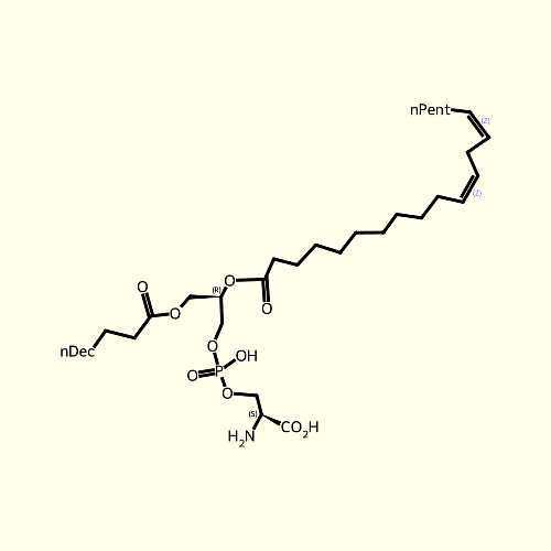 CCCCC/C=C\C/C=C\CCCCCCCCCC(=O)O[C@H](COC(=O)CCCCCCCCCCCC)COP(=O)(O)OC[C@H](N)C(=O)O